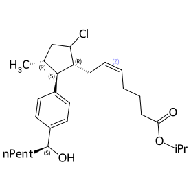 CCCCC[C@H](O)c1ccc([C@H]2[C@H](C)CC(Cl)[C@@H]2C/C=C\CCCC(=O)OC(C)C)cc1